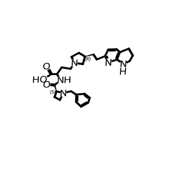 O=C(O)C(CCN1CC[C@@H](CCc2ccc3c(n2)NCCC3)C1)NC(=O)[C@@H]1CCN1Cc1ccccc1